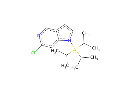 CC(C)S(C(C)C)(C(C)C)n1ccc2cnc(Cl)cc21